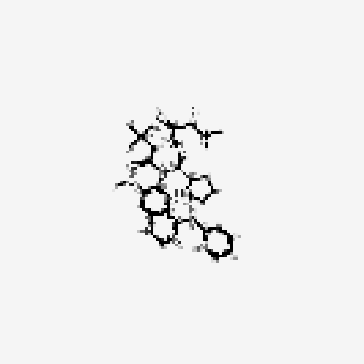 CN[C@@H](C)C(=O)N[C@H](C(=O)N(C(=O)[C@@H]1CCCN1)c1cc2c(Nc3ccccn3)ncnc2cc1OC)C(C)(C)C